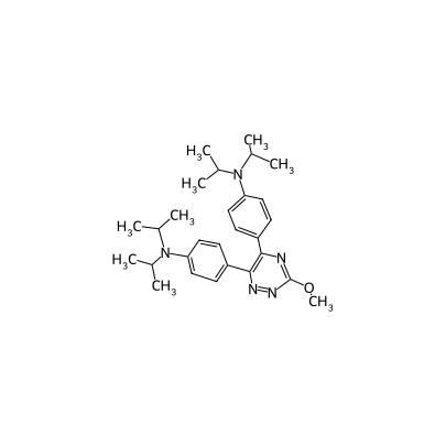 COc1nnc(-c2ccc(N(C(C)C)C(C)C)cc2)c(-c2ccc(N(C(C)C)C(C)C)cc2)n1